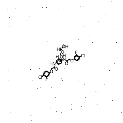 O=C(COc1ccc(Cl)c(F)c1)NC12CCC(NC(=O)COc3ccc(Cl)c(F)c3)(CC1)[C@@H](OCOPO)C2